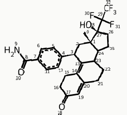 C[C@]12C[C@H](c3ccc(C(N)=O)cc3)C3=C4CCC(=O)C=C4CCC3C1CC[C@@]2(O)C(F)(F)C(F)(F)F